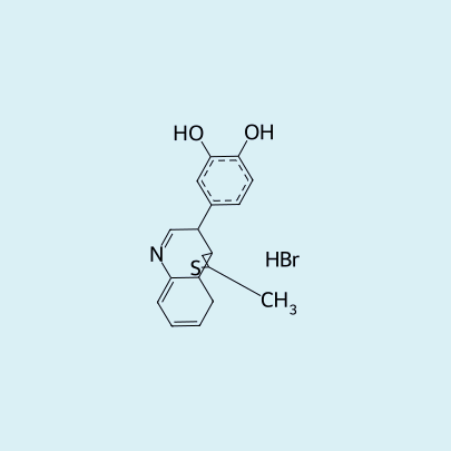 Br.CC1CC2C(c3ccc(O)c(O)c3)C=NC3=CC=CCC32S1